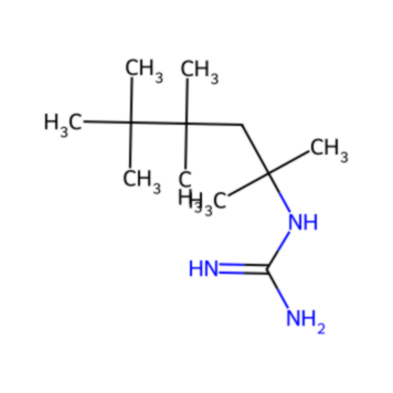 CC(C)(CC(C)(C)C(C)(C)C)NC(=N)N